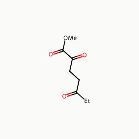 CCC(=O)CCC(=O)C(=O)OC